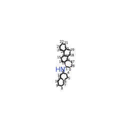 C1=C(Nc2ccc3ccccc3c2)c2ccc3c(ccc4ccccc43)c2CC1